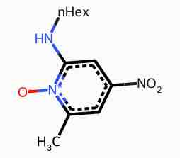 CCCCCCNc1cc([N+](=O)[O-])cc(C)[n+]1[O-]